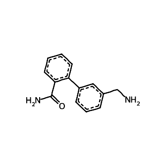 NCc1cccc(-c2ccccc2C(N)=O)c1